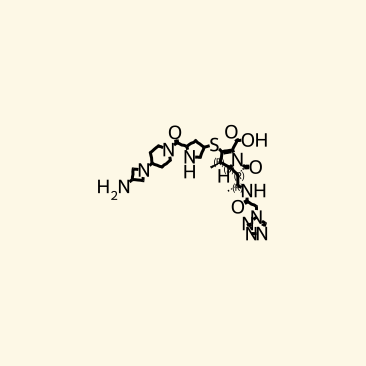 C[C@@H](NC(=O)Cn1cnnn1)[C@H]1C(=O)N2C(C(=O)O)=C(SC3CNC(C(=O)N4CCC(N5CC(N)C5)CC4)C3)[C@H](C)[C@H]12